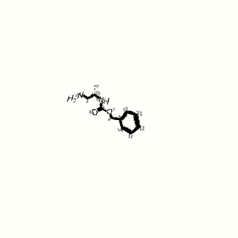 C[C@@H](CN)NC(=O)OCc1ccccc1